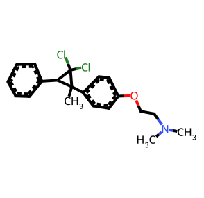 CN(C)CCOc1ccc(C2(C)C(c3ccccc3)C2(Cl)Cl)cc1